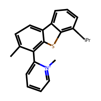 Cc1ccc2c(sc3c(C(C)C)cccc32)c1-c1cccc[n+]1C